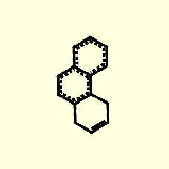 [CH]1C=CCc2ccc3ccccc3c21